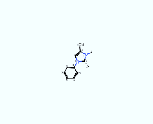 C[C@H]1N(C)C(C#N)=CN1c1ccccc1